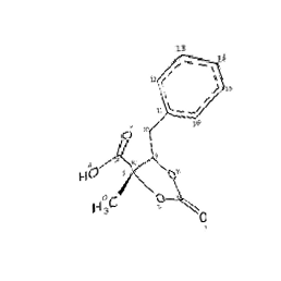 C[C@]1(C(=O)O)OC(=O)OC1Cc1ccccc1